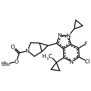 CC(C)(C)OC(=O)N1CC2C(C1)C2c1nn(C2CC2)c2c(F)c(Cl)nc(C3(C)CC3)c12